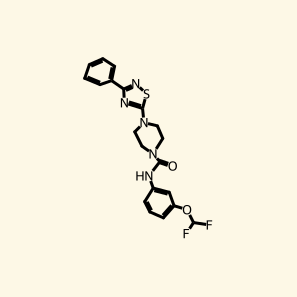 O=C(Nc1cccc(OC(F)F)c1)N1CCN(c2nc(-c3ccccc3)ns2)CC1